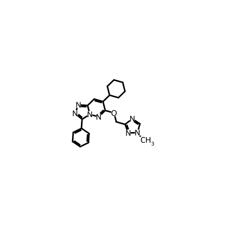 Cn1cnc(COc2nn3c(-c4ccccc4)nnc3cc2C2CCCCC2)n1